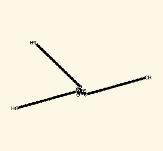 C#CC#CC#CC#CC#CC#CC#CC#CC#CC#CC#CC#CC#CC#CC#COC(=O)/C=C(\CC(=O)OC#CC#CC#CC#CC#CC#CC#CC#CC#CC#CC#CC#CC#CC#CC#C)C(=O)OC#CC#CC#CC#CC#CC#CC#CC#CC#CC#CC#CC#CC#CC#CC#C